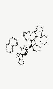 c1ccc2c(c1)-c1c(c3c4ccccc4n(-c4nc(-c5cccc6ccccc56)c5sc6ccccc6c5n4)c3c3ccccc13)C21CCCCC1